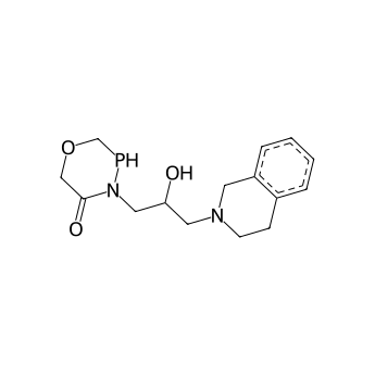 O=C1COCPN1CC(O)CN1CCc2ccccc2C1